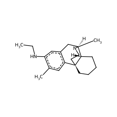 CCNc1cc2c(cc1C)[C@@]13CCCC[C@H]1[C@H](C2)N(C)CC3